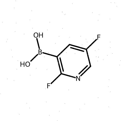 OB(O)c1cc(F)cnc1F